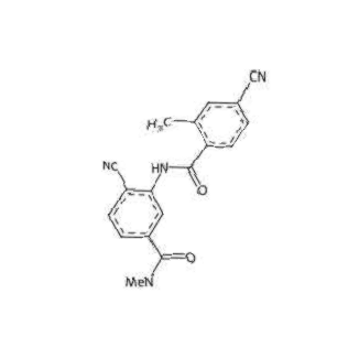 CNC(=O)c1ccc(C#N)c(NC(=O)c2ccc(C#N)cc2C)c1